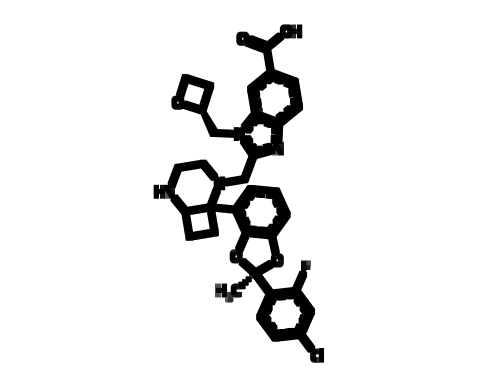 C[C@@]1(c2ccc(Cl)cc2F)Oc2cccc(C34CCC3NCCN4Cc3nc4ccc(C(=O)O)cc4n3C[C@@H]3CCO3)c2O1